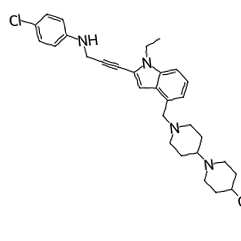 CCn1c(C#CCNc2ccc(Cl)cc2)cc2c(CN3CCC(N4CCC(O)CC4)CC3)cccc21